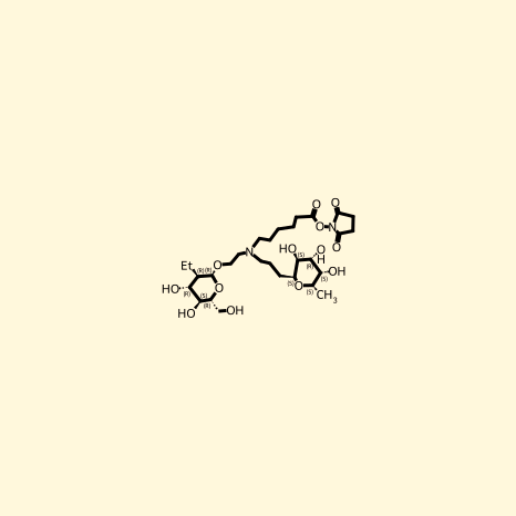 CC[C@H]1[C@H](OCCN(CCCCCC(=O)ON2C(=O)CCC2=O)CCC[C@@H]2O[C@@H](C)[C@@H](O)[C@@H](O)[C@@H]2O)O[C@H](CO)[C@@H](O)[C@@H]1O